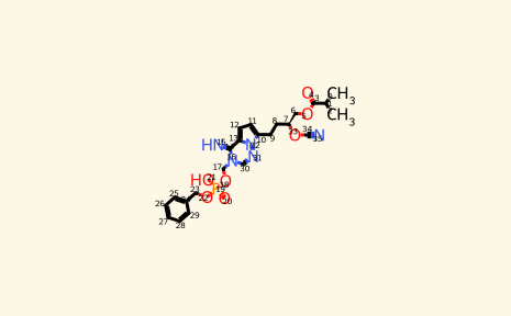 CC(C)C(=O)OC[C@H](CCc1ccc2c(=N)n(COP(=O)(O)OCc3ccccc3)cnn12)OC#N